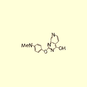 CNc1ccc(Oc2nc(O)c3ccncc3n2)cc1